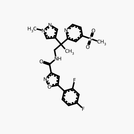 Cn1cc(C(C)(CNC(=O)c2cc(-c3ccc(F)cc3F)on2)c2cc(S(C)(=O)=O)ccn2)cn1